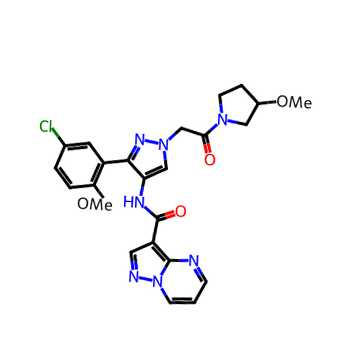 COc1ccc(Cl)cc1-c1nn(CC(=O)N2CCC(OC)C2)cc1NC(=O)c1cnn2cccnc12